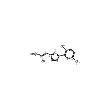 CCOC(=O)/C(C#N)=C/c1ccc(-c2cc(C(F)(F)F)ccc2Cl)o1